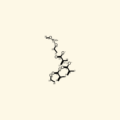 C=C(C)C(=O)[O-].C=C(C)C(=O)[O-].C=C(C)C(=O)[O-].CC[O-].CC[O][Ti+4][O]C